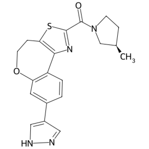 C[C@@H]1CCN(C(=O)c2nc3c(s2)CCOc2cc(-c4cn[nH]c4)ccc2-3)C1